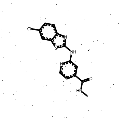 CNC(=O)c1ccnc(Nc2nc3ccc(Cl)cc3s2)c1